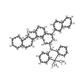 CC1(C)c2ccccc2N(c2nc(-c3ccc4ccccc4c3)c3ccc4oc5c6ccccc6ccc5c4c3n2)c2ccccc21